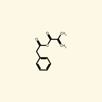 C=C(C)C(=O)OC(=O)Cc1ccccc1